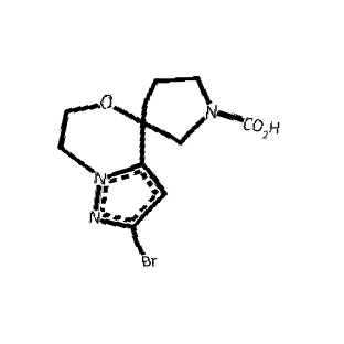 O=C(O)N1CCC2(C1)OCCn1nc(Br)cc12